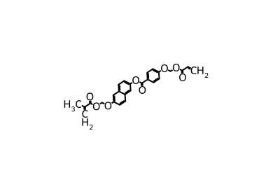 C=CC(=O)OCOc1ccc(C(=O)Oc2ccc3cc(OCOC(=O)C(=C)C)ccc3c2)cc1